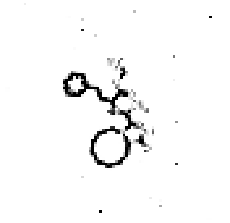 CCOC(=O)C(CCc1ccccc1)N[C@@H](C)C(=O)N1CCCCCCCC[C@H]1C(=O)O